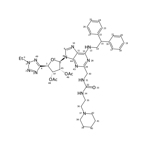 CCn1nnc([C@H]2O[C@@H](n3cnc4c(NCC(c5ccccc5)c5ccccc5)nc(CNC(=O)NCCN5CCCCC5)nc43)[C@H](OC(C)=O)[C@@H]2OC(C)=O)n1